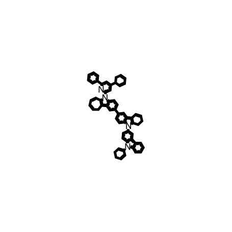 C1=CCc2c(n(-c3cc(C4C=CC=CC4)cc(-c4ccccc4)n3)c3ccc(-c4ccc5c(c4)c4c(n5-c5ccc6c(c5)c5ccccc5n6C5=CCCC=C5)CCC=C4)cc23)C=C1